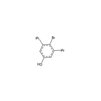 CC(C)c1cc(O)cc(C(C)C)c1Br